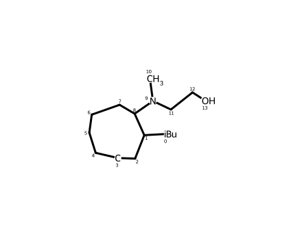 CCC(C)C1CCCCCCC1N(C)CCO